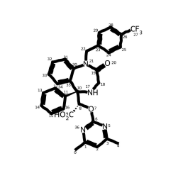 Cc1cc(C)nc(O[C@H](C(=O)O)[C@@]2(c3ccccc3)NCC(=O)N(Cc3ccc(C(F)(F)F)cc3)c3ccccc32)n1